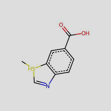 C[SH]1C=Nc2ccc(C(=O)O)cc21